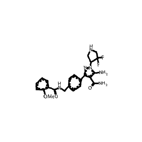 COc1ccccc1C(=O)NCc1ccc(-c2nn(C3CNCC3(F)F)c(N)c2C(N)=O)cc1